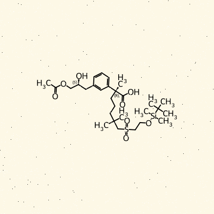 CC(=O)OC[C@@H](O)Cc1cccc([C@@](C)(CCCC(C)(C)CS(=O)(=O)CCO[Si](C)(C)C(C)(C)C)C(=O)O)c1